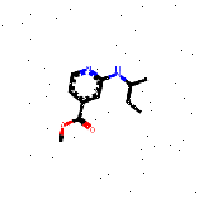 CCC(C)Nc1cc(C(=O)OC)ccn1